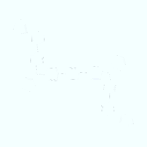 C1=CC(c2ccc3c(c2)c2cc(-c4ccc(-c5ccc6c(c5)c5cc(-c7cccc(-c8ccccc8)c7)ccc5n6-c5ccccc5)cc4)ccc2n3-c2ccccc2)=CC(c2ccccc2)C1